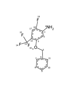 Nc1cc(OCc2ccccc2)c(C(F)(F)F)cc1F